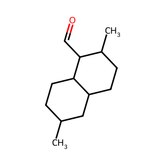 CC1CCC2C(CCC(C)C2C=O)C1